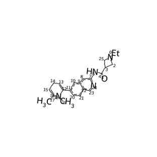 CCN1CC(C(=O)Nc2cc3cc(C4=CCC=C(C)N4C)ccc3cn2)C1